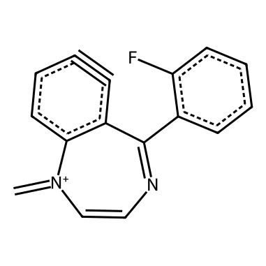 C=[N+]1C=CN=C(c2ccccc2F)c2c#cccc21